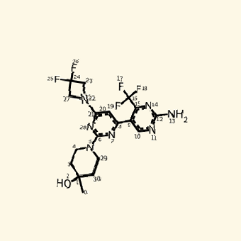 CC1(O)CCN(c2nc(-c3cnc(N)nc3C(F)(F)F)cc(N3CC(F)(F)C3)n2)CC1